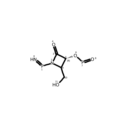 N=PN1C(=O)[C@H](OP=O)C1CO